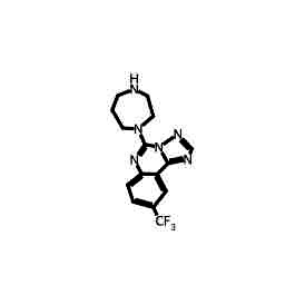 FC(F)(F)c1ccc2nc(N3CCCNCC3)n3ncnc3c2c1